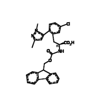 Cc1cc(-c2ccc(Cl)cc2C[C@H](NC(=O)OCC2c3ccccc3-c3ccccc32)C(=O)O)n(C)n1